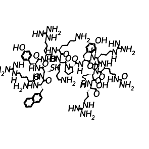 N=C(N)NCCC[C@H](NC(=O)[C@H](CS)NC(=O)[C@H](CCCNC(N)=O)NC(=O)[C@H](CCCNC(=N)N)NC(=O)[C@H](Cc1ccc(O)cc1)NC(=O)[C@@H]1CCCN1C(=O)[C@@H](CCCCN)NC(=O)[C@H](CCCCN)NC(=O)[C@H](CCCNC(=N)N)NC(=O)[C@H](Cc1ccc(O)cc1)NC(=O)[C@H](CS)NC(=O)[C@H](Cc1ccc2ccccc2c1)NC(=O)[C@@H](N)CCCNC(=N)N)C(=O)O